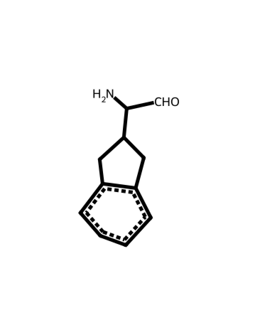 NC(C=O)C1Cc2ccccc2C1